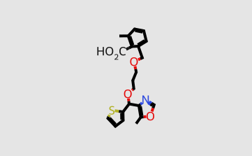 Cc1cccc(COCCCOC(c2cccs2)c2ncoc2C)c1C(=O)O